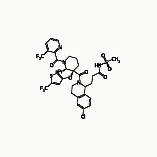 CCC[C@H]1N(C(=O)c2ncccc2C(F)(F)F)CCC[C@]1(Oc1csc(C(F)(F)F)c1)C(=O)N1CCc2cc(Cl)ccc2C1CCC(=O)NS(C)(=O)=O